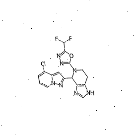 FC(F)c1nnc(N2CCc3[nH]cnc3C2c2cc3c(Cl)cccn3n2)o1